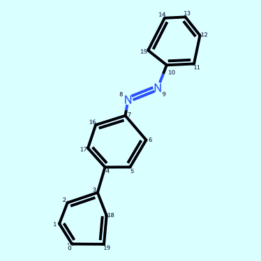 [c]1ccc(-c2ccc(N=Nc3ccccc3)cc2)cc1